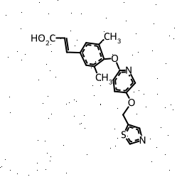 Cc1cc(/C=C/C(=O)O)cc(C)c1Oc1ccc(OCc2cncs2)cn1